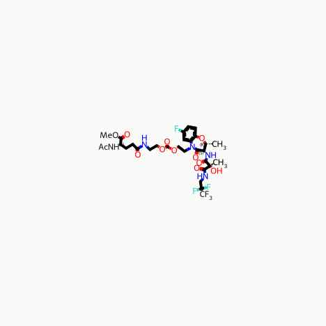 COC(=O)[C@H](CCC(=O)NCCOC(=O)OCCN1C(=O)[C@@H](NC(=O)[C@@](C)(O)C(=O)NCC(F)(F)C(F)(F)F)[C@@H](C)Oc2ccc(F)cc21)NC(C)=O